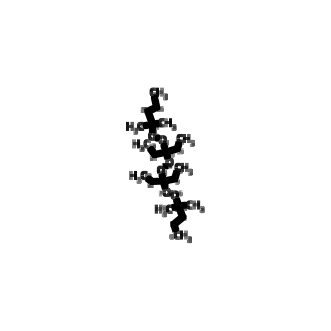 CCCC(C)(C)OOC(CC)(CC)OOC(CC)(CC)OOC(C)(C)CCC